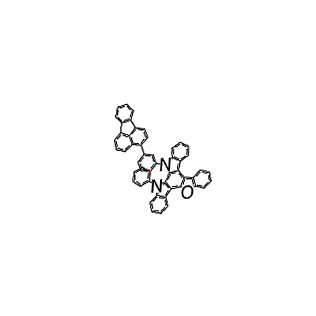 c1ccc(-n2c3ccccc3c3c4oc5ccccc5c4c4c5ccccc5n(-c5cccc(-c6ccc7c8c(cccc68)-c6ccccc6-7)c5)c4c32)cc1